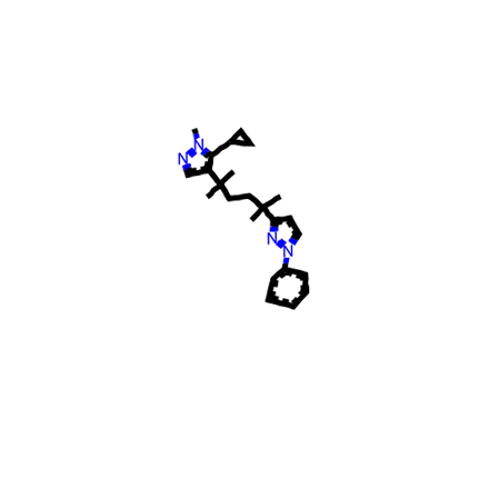 Cn1ncc(C(C)(C)CCC(C)(C)c2ccn(-c3ccccc3)n2)c1C1CC1